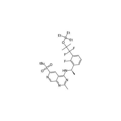 CC[Si](CC)(CC)OC(C)(C)C(F)(F)c1cccc([C@@H](C)Nc2nc(C)nc3cnc(S(=O)(=O)C(C)(C)C)cc23)c1F